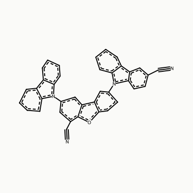 N#Cc1ccc2c(c1)c1ccccc1n2-c1ccc2oc3c(C#N)cc(-n4c5ccccc5c5ccccc54)cc3c2c1